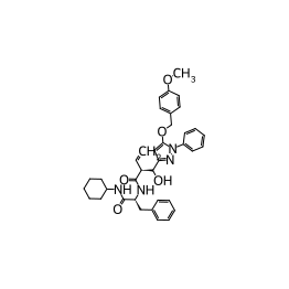 C=C[C@H](C(=O)N[C@@H](Cc1ccccc1)C(=O)NC1CCCCC1)C(O)c1cc(OCc2ccc(OC)cc2)n(-c2ccccc2)n1